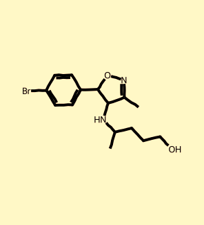 CC1=NOC(c2ccc(Br)cc2)C1NC(C)CCCO